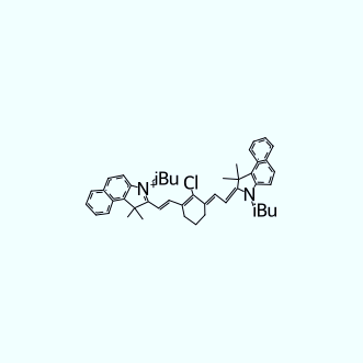 CCC(C)N1/C(=C/C=C2\CCCC(/C=C/C3=[N+](C(C)CC)c4ccc5ccccc5c4C3(C)C)=C2Cl)C(C)(C)c2c1ccc1ccccc21